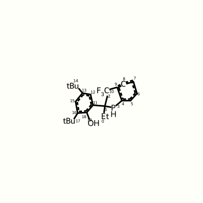 CCC(C)(Pc1ccccc1C(F)(F)F)c1cc(C(C)(C)C)cc(C(C)(C)C)c1O